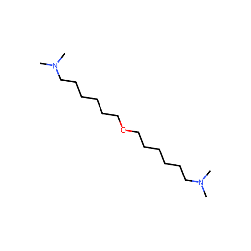 CN(C)CCCCCCOCCCCCCN(C)C